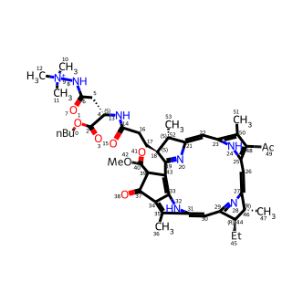 CCCCOC(=O)[C@H](CC(=O)N[N+](C)(C)C)NC(=O)CC[C@@H]1c2nc(cc3[nH]c(cc4nc(cc5[nH]c6c(c5C)C(=O)C(C(=O)OC)c26)[C@H](CC)[C@H]4C)c(C(C)=O)c3C)[C@H]1C